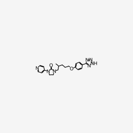 CC(CCCOc1ccc(-c2nn[nH]n2)cc1)CN1CCN(c2ccncc2)C1=O